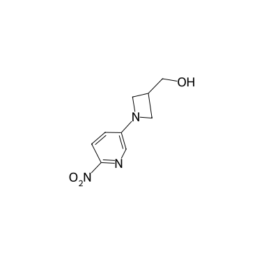 O=[N+]([O-])c1ccc(N2CC(CO)C2)cn1